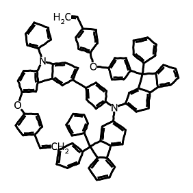 C=Cc1ccc(Oc2ccc(C3(c4ccccc4)c4ccccc4-c4ccc(N(c5ccc(-c6ccc7c(c6)c6cc(Oc8ccc(C=C)cc8)ccc6n7-c6ccccc6)cc5)c5ccc6c(c5)C(c5ccccc5)(c5ccccc5)c5ccccc5-6)cc43)cc2)cc1